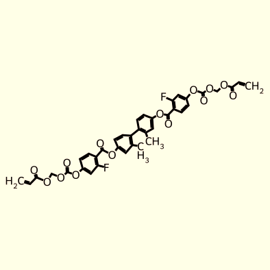 C=CC(=O)OCOC(=O)Oc1ccc(C(=O)Oc2ccc(-c3ccc(OC(=O)c4ccc(OC(=O)OCOC(=O)C=C)cc4F)cc3C)c(C)c2)c(F)c1